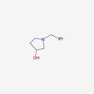 C[C](C)CN1CCC(O)C1